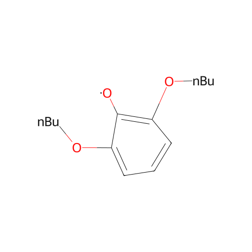 CCCCOc1cccc(OCCCC)c1[O]